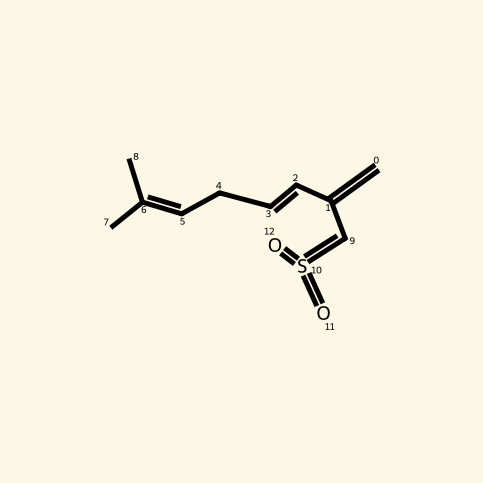 C=C(C=CCC=C(C)C)C=S(=O)=O